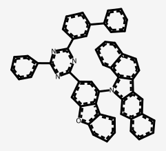 c1ccc(-c2cccc(-c3nc(-c4ccccc4)nc(-c4cc(-n5c6cc7ccccc7cc6c6ccc7ccccc7c65)c5c(c4)oc4ccccc45)n3)c2)cc1